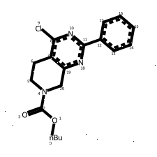 CCCCOC(=O)N1CCc2c(Cl)nc(-c3ccccc3)nc2C1